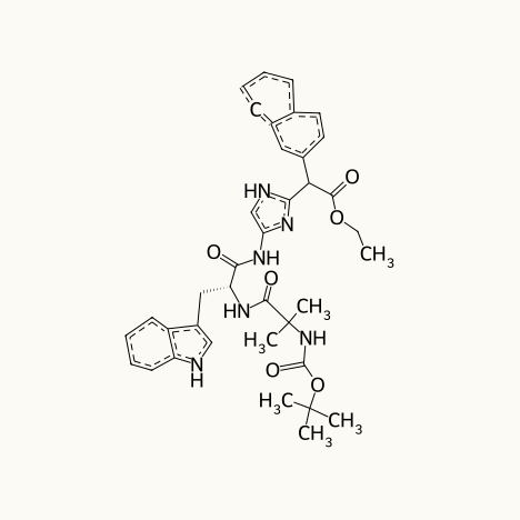 CCOC(=O)C(c1ccc2ccccc2c1)c1nc(NC(=O)[C@@H](Cc2c[nH]c3ccccc23)NC(=O)C(C)(C)NC(=O)OC(C)(C)C)c[nH]1